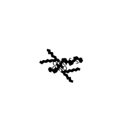 CCCCCCCCC(CCCCCC)CN1C(=O)C2=C(c3ccc(C(C)(C)C)o3)N(CC(CCCCCC)CCCCCCCC)C(=O)C2=C1c1ccc(-c2ccc(-c3ccc(C(C)(C)C)s3)s2)o1